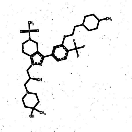 CC1CCN(CCSc2cc(-c3nn(C[C@@H](O)CN4CCC(C)(O)CC4)c4c3CN(S(C)(=O)=O)CC4)ccc2C(F)(F)F)CC1